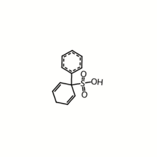 O=S(=O)(O)C1(c2ccccc2)C=CCC=C1